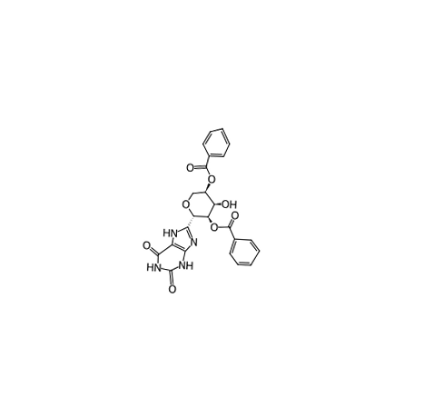 O=C(O[C@@H]1[C@H](O)[C@H](OC(=O)c2ccccc2)CO[C@H]1c1nc2[nH]c(=O)[nH]c(=O)c2[nH]1)c1ccccc1